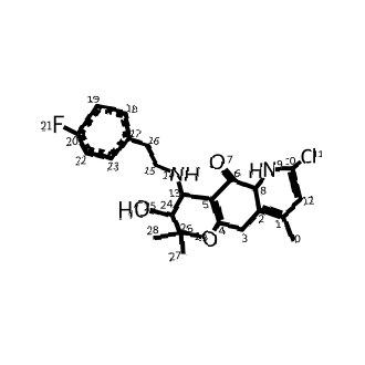 CC1=C2CC3=C(C(=O)C2NC(Cl)=C1)C(NCCc1ccc(F)cc1)C(O)C(C)(C)O3